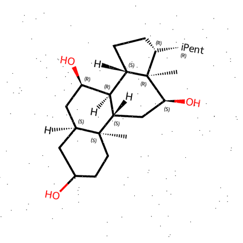 CCC[C@@H](C)[C@H]1CC[C@H]2[C@@H]3[C@H](O)C[C@@H]4C[C](O)CC[C@]4(C)[C@H]3C[C@H](O)[C@]12C